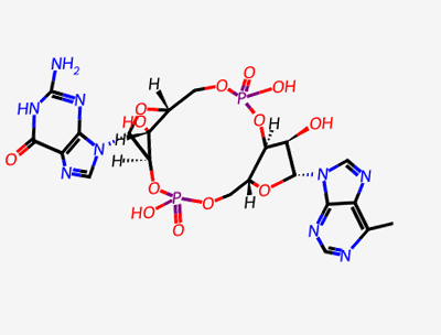 Cc1ncnc2c1ncn2[C@@H]1O[C@@H]2COP(=O)(O)O[C@@H]3[C@H](O)[C@@H](COP(=O)(O)O[C@H]2[C@H]1O)O[C@H]3n1cnc2c(=O)[nH]c(N)nc21